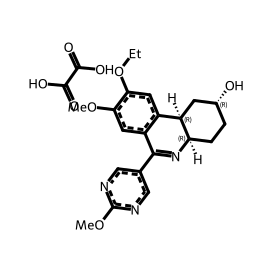 CCOc1cc2c(cc1OC)C(c1cnc(OC)nc1)=N[C@@H]1CC[C@@H](O)C[C@H]21.O=C(O)C(=O)O